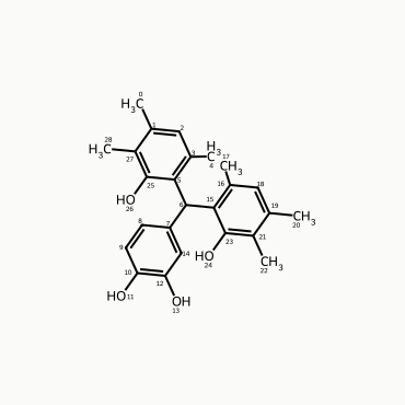 Cc1cc(C)c(C(c2ccc(O)c(O)c2)c2c(C)cc(C)c(C)c2O)c(O)c1C